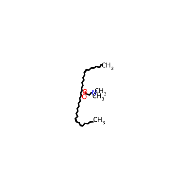 CCCCC/C=C\C/C=C\CCCCCCCCC(CCCCCCCC/C=C\CCCCCCC)OC(=O)CCN(C)C